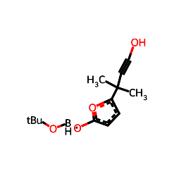 CC(C)(C)OBOc1ccc(C(C)(C)C#CO)o1